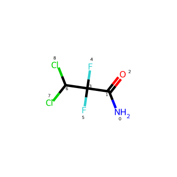 NC(=O)C(F)(F)C(Cl)Cl